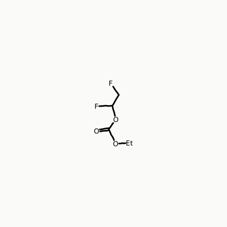 CCOC(=O)OC(F)CF